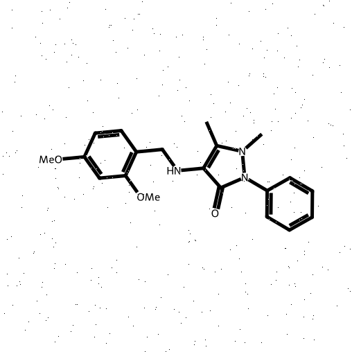 COc1ccc(CNc2c(C)n(C)n(-c3ccccc3)c2=O)c(OC)c1